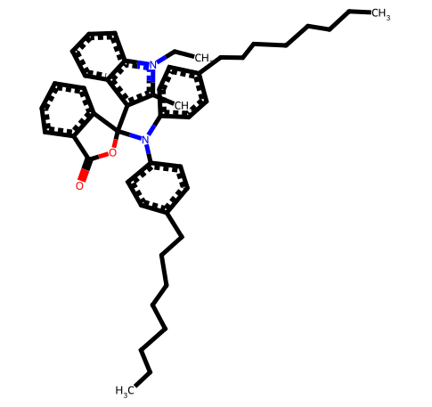 CCCCCCCCc1ccc(N(c2ccc(CCCCCCCC)cc2)C2(c3c(C)n(CC)c4ccccc34)OC(=O)c3ccccc32)cc1